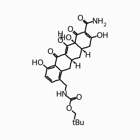 CC(C)(C)COC(=O)NCc1ccc(O)c2c1C[C@H]1C[C@H]3CC(O)=C(C(N)=O)C(=O)[C@@]3(O)C(O)=C1C2=O